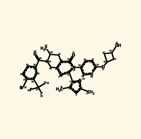 Cc1cc(C)n(-c2nc3c(c(=O)n2-c2ccc(OC4CC(O)C4)nc2)CC(C)N(C(=O)c2ccc(Br)c(C(F)(F)F)c2)C3)n1